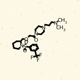 CN(C)CCCN1CCN(C(=O)COCC2CCCCN2S(=O)(=O)c2cccc(C(F)(F)F)c2)CC1